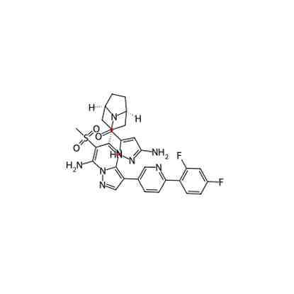 CS(=O)(=O)c1c([C@@H]2C[C@H]3CC[C@@H](C2)N3C(=O)c2cc(N)n[nH]2)nc2c(-c3ccc(-c4ccc(F)cc4F)nc3)cnn2c1N